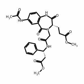 COC(=O)CC[C@H]1C(=O)Nc2ccc(NC(C)=O)cc2C(=O)N1CC(=O)N[C@H](CC(=O)OC)c1ccccc1